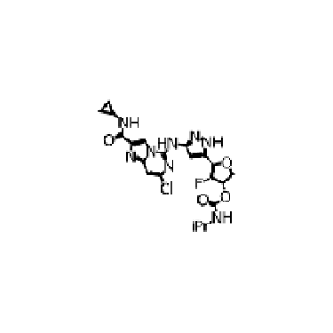 CC(C)NC(=O)O[C@@H]1CO[C@H](c2cc(Nc3nc(Cl)cc4nc(C(=O)NC5CC5)cn34)n[nH]2)[C@@H]1F